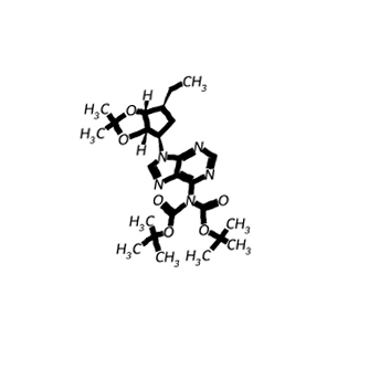 CC[C@H]1C[C@@H](n2cnc3c(N(C(=O)OC(C)(C)C)C(=O)OC(C)(C)C)ncnc32)[C@@H]2OC(C)(C)O[C@H]12